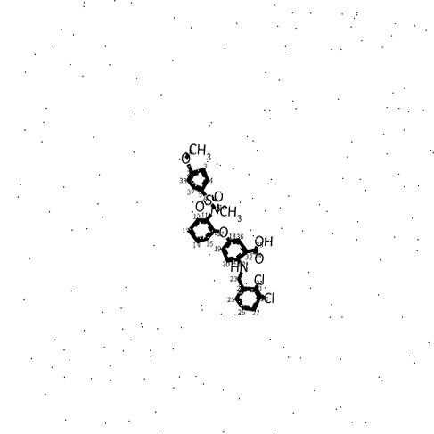 COc1ccc(S(=O)(=O)N(C)c2ccccc2Oc2ccc(NCc3cccc(Cl)c3Cl)c(C(=O)O)c2)cc1